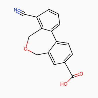 N#Cc1cccc2c1COCc1cc(C(=O)O)ccc1-2